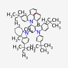 CC(C)(C)c1ccc(N2c3ccc(C(C)(C)C)cc3B3c4ccccc4N(c4ccc(C(C)(C)C)cc4-c4ccccc4)c4cc(N5c6ccc(C(C)(C)C)cc6C6(C)CCCCCC56C)cc2c43)cc1